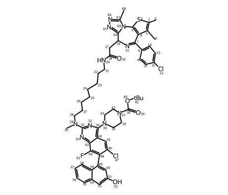 Cc1sc2c(c1C)C(c1ccc(Cl)cc1)=NC(CC(=O)NCCCCCCCCN(C)c1nc(N3CCN(C(=O)OC(C)(C)C)CC3)c3cc(Cl)c(-c4cc(O)cc5ccccc45)c(F)c3n1)c1nnc(C)n1-2